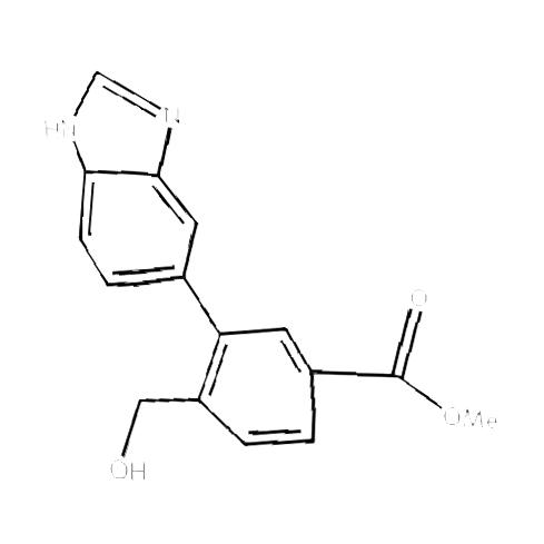 COC(=O)c1ccc(CO)c(-c2ccc3[nH]cnc3c2)c1